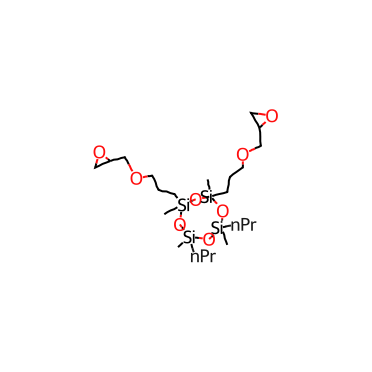 CCC[Si]1(C)O[Si](C)(CCC)O[Si](C)(CCCOCC2CO2)O[Si](C)(CCCOCC2CO2)O1